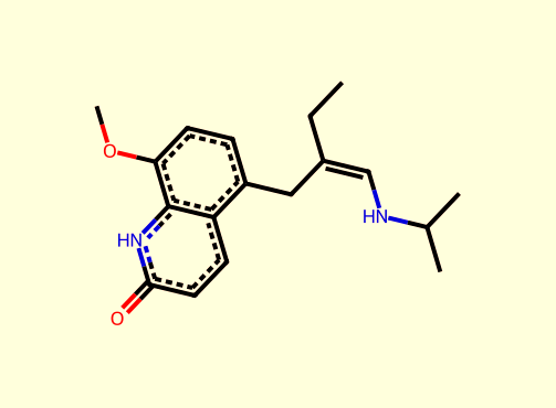 CC/C(=C/NC(C)C)Cc1ccc(OC)c2[nH]c(=O)ccc12